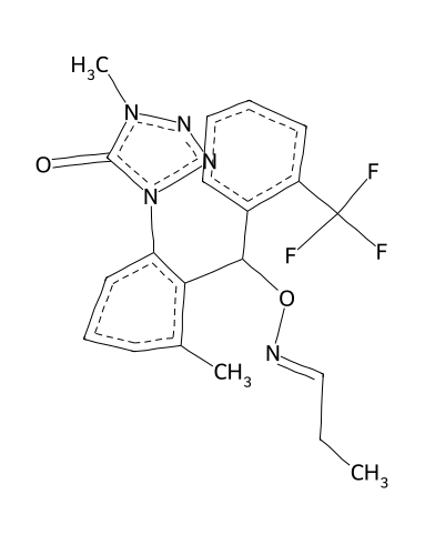 CCC=NOC(c1ccccc1C(F)(F)F)c1c(C)cccc1-n1nnn(C)c1=O